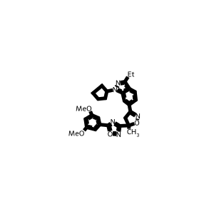 CCc1nn(C2CCCC2)c2cc(C3=NOC(C)(c4noc(-c5cc(OC)cc(OC)c5)n4)C3)ccc12